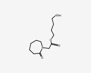 CCCCCCCCCCCCCCOC(=O)CN1CCCCCC1=O